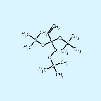 C=C[Si](OO[Si](C)(C)C)(O[Si](C)(C)C)O[Si](C)(C)C